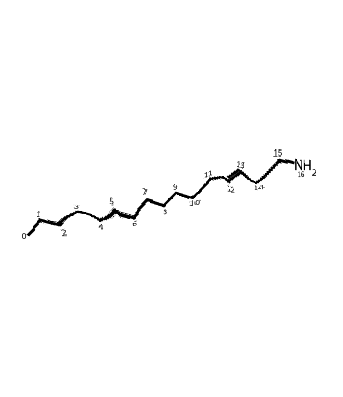 CCCCCCCCCCCCC=CCCN